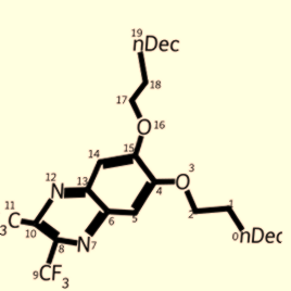 CCCCCCCCCCCCOc1cc2nc(C(F)(F)F)c(C(F)(F)F)nc2cc1OCCCCCCCCCCCC